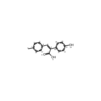 Cc1ccc(C=C(C(=O)O)c2ccc(O)cc2)cc1